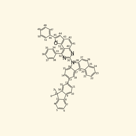 CC1(C)c2ccccc2-c2ccc(-c3ccc4c(c3)c3c5ccccc5ccc3n4-c3nc(-c4ccccc4)c4c(ccc5cc(-c6ccccc6)oc54)n3)cc21